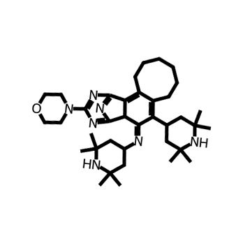 CC1(C)CC(N=C2C(C3CC(C)(C)NC(C)(C)C3)=C3CCCCCCC3=C3c4nc(nc(N5CCOCC5)n4)C23)CC(C)(C)N1